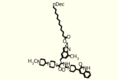 CCCCCCCCCCCCCCCCCCCCCC(=O)OCn1cc2cc(C[C@@H](NC(=O)N3CCC(c4cc5ccccc5[nH]c4=O)CC3)C(=O)N3CCN(C4CCN(C)CC4)CC3)cc(C)c2n1